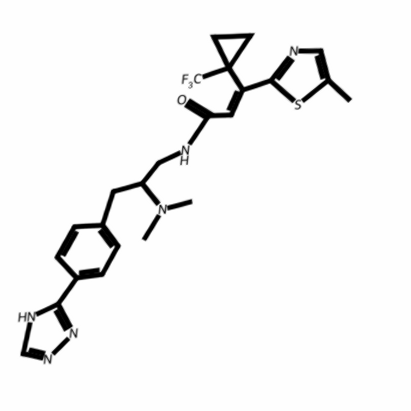 Cc1cnc(C(=CC(=O)NCC(Cc2ccc(-c3nnc[nH]3)cc2)N(C)C)C2(C(F)(F)F)CC2)s1